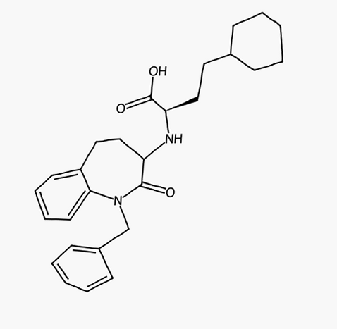 O=C(O)[C@@H](CCC1CCCCC1)NC1CCc2ccccc2N(Cc2ccccc2)C1=O